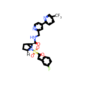 O=C(NCc1cc(-c2ccc(C(F)(F)F)cn2)ccn1)[C@@H]1C2CC[C@H](C2)N1S(=O)(=O)c1cc2cc(F)ccc2o1